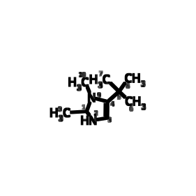 CC1NC=C(C(C)(C)C)N1C